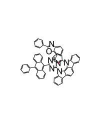 c1ccc(-c2nc3cccc(-c4nc(-c5c6ccccc6c(-c6ccccc6)c6ccccc56)nc(-n5c6ccccc6c6ccc7c8ccccc8n(-c8ccccc8)c7c65)n4)c3o2)cc1